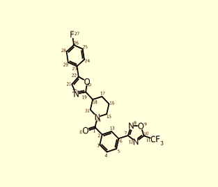 O=C(c1cccc(-c2noc(C(F)(F)F)n2)c1)N1CCCC(c2ncc(-c3ccc(F)cc3)o2)C1